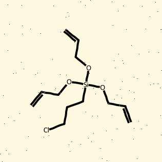 C=CCO[Si](CCCCl)(OCC=C)OCC=C